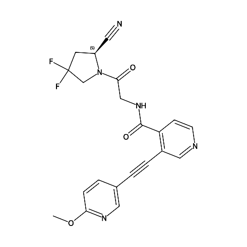 COc1ccc(C#Cc2cnccc2C(=O)NCC(=O)N2CC(F)(F)C[C@H]2C#N)cn1